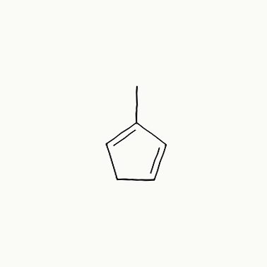 CC1=[C]CC=C1